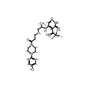 CC(COCCC(=O)N1CCN(c2ncc(Cl)cn2)CC1)Nc1cn[nH]c(=O)c1C(=N)C(F)(F)F